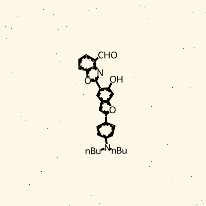 CCCCN(CCCC)c1ccc(-c2cc3cc(-c4nc5c(C=O)cccc5o4)c(O)cc3o2)cc1